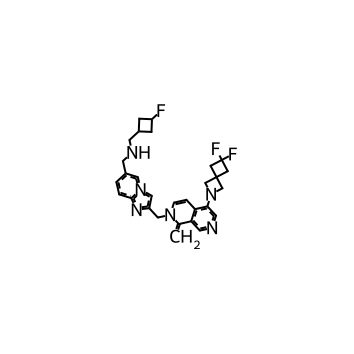 C=C1c2cncc(N3CC4(C3)CC(F)(F)C4)c2C=CN1Cc1cn2cc(CNCC3CC(F)C3)ccc2n1